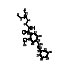 CCN(CC)CCNC(=O)c1ccc(C=Cc2ccccc2)cc1OC